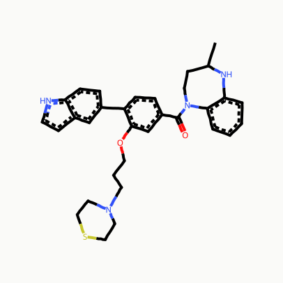 CC1CCN(C(=O)c2ccc(-c3ccc4[nH]ccc4c3)c(OCCCN3CCSCC3)c2)c2ccccc2N1